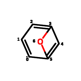 [c]1ccc2cc1O2